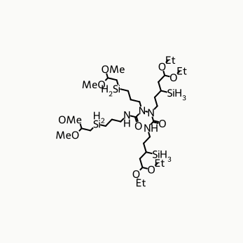 CCOC(CC([SiH3])CCNC(=O)N(CCC([SiH3])CC(OCC)OCC)N(CCC[SiH2]CC(OC)OC)C(=O)NCCC[SiH2]CC(OC)OC)OCC